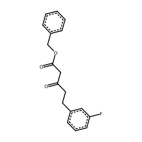 O=C(CCc1cccc(F)c1)CC(=O)OCc1ccccc1